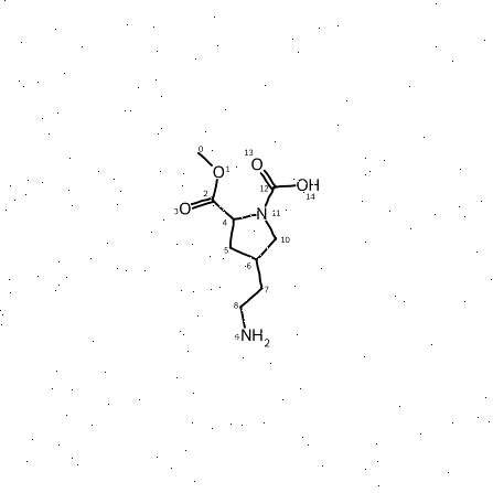 COC(=O)C1CC(CCN)CN1C(=O)O